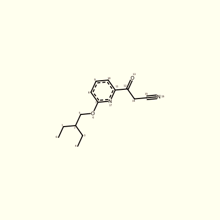 CCC(CC)COc1cccc(C(=O)CC#N)n1